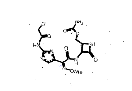 CO/N=C(\C(=O)NC1C(=O)NC1COC(N)=O)c1csc(NC(=O)CCl)n1